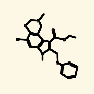 CCOC(=O)c1c(CSc2ccccn2)n(C)c2cc(Br)c3c(c12)CN(C)CO3